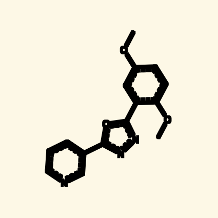 COc1ccc(OC)c(-c2nnc(-c3cccnc3)o2)c1